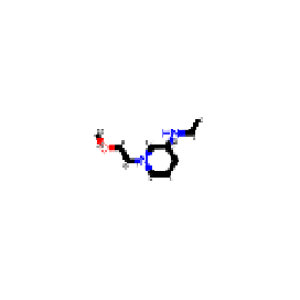 CCNC1CCCN(CCOC)C1